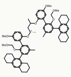 COCOc1c(-c2cc(OC)ccc2OC(C)C[C@H](C)Oc2ccc(OC)cc2-c2cc(C)cc(-c3c4c(cc5c3CCCC5)CCCC4)c2OCOC)cc(C)cc1-c1c2c(cc3c1CCCC3)CCCC2